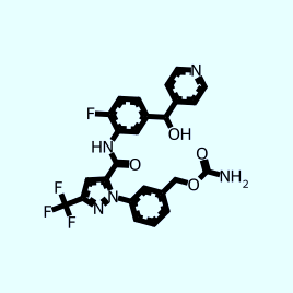 NC(=O)OCc1cccc(-n2nc(C(F)(F)F)cc2C(=O)Nc2cc(C(O)c3ccncc3)ccc2F)c1